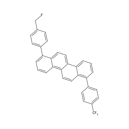 FCc1ccc(-c2cccc3c2ccc2c4cccc(-c5ccc(C(F)(F)F)cc5)c4ccc32)cc1